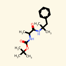 CC(NC(=O)OC(C)(C)C)C(=O)NC(C)(C)Cc1ccccc1